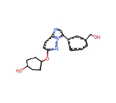 OCc1cccc(-c2cnc3ccc(OC4CCC(O)CC4)nn23)c1